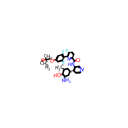 COC(C)(C)COc1cc(F)c(-c2nc(C(=O)Nc3cnccc3[C@H]3C[C@@H](N)[C@H](O)[C@@H](C)C3)ccc2F)c(F)c1